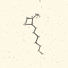 CCCCCCCC1SCC1N